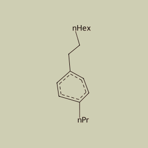 [CH2]CCc1ccc(CCCCCCCC)cc1